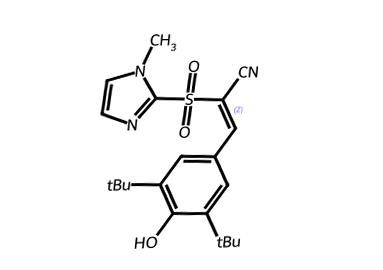 Cn1ccnc1S(=O)(=O)/C(C#N)=C\c1cc(C(C)(C)C)c(O)c(C(C)(C)C)c1